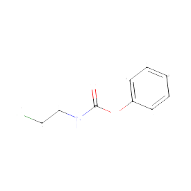 O=C(NCCCl)Oc1ccccc1